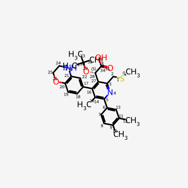 CSCc1nc(-c2ccc(C)c(C)c2)c(C)c(-c2ccc3c(c2)NCCO3)c1[C@H](OC(C)(C)C)C(=O)O